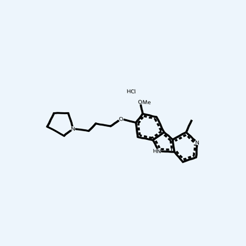 COc1cc2c(cc1OCCCN1CCCC1)[nH]c1ccnc(C)c12.Cl